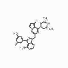 Cc1ccn2nc(Cn3nc(-c4cc(O)cc(F)c4)c4c(N)ncnc43)nc(N3C[C@@H](C)N[C@@H](C)C3)c12